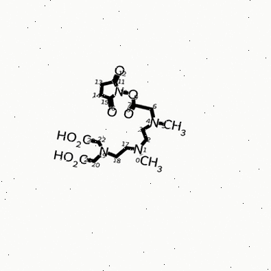 CN(CCN(C)CC(=O)ON1C(=O)CCC1=O)CCN(CC(=O)O)CC(=O)O